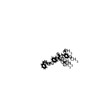 COc1ccc(COC(=O)[C@@H](Cc2ccc(OCOn3ncc4ccccc43)cc2)NC(=O)OC(C)(C)C)c(OC)c1